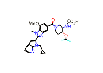 COc1cc(C(=O)N2CC[C@H](OC(F)F)[C@H](NC(=O)O)C2)cc2nc(-c3cc4cccnc4n3CC3CC3)n(C)c12